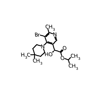 Cc1ncc([C@H](O)C(=O)OC(C)C)c(N2CCC(C)(C)CC2)c1Br